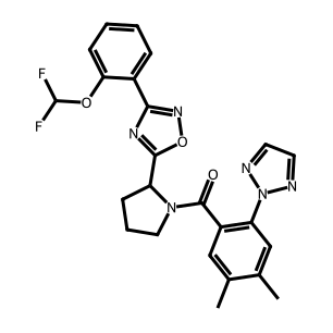 Cc1cc(C(=O)N2CCCC2c2nc(-c3ccccc3OC(F)F)no2)c(-n2nccn2)cc1C